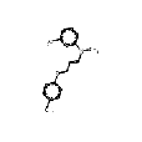 Cc1ccc(OC/C=C/N(C)c2cccc(C)c2)cc1